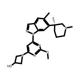 COc1nc(N2CC(O)C2)cc(-n2ncc3cc(C)c([C@]4(F)CCCN(C)C4)cc32)n1